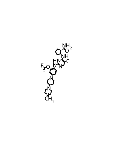 CN1CCN(C2CCN(c3ccc(Nc4ncc(Cl)c(N[C@@H]5CCC[C@@H]5C(N)=O)n4)c(OC(F)F)c3)CC2)CC1